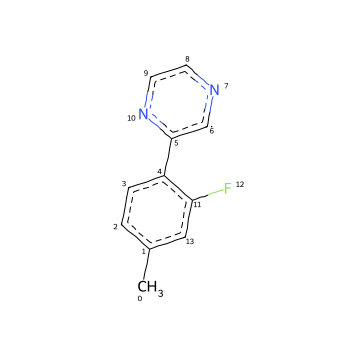 Cc1ccc(-c2[c]nccn2)c(F)c1